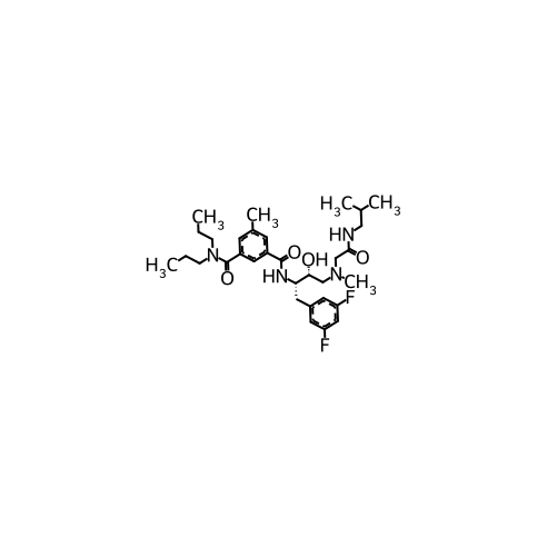 CCCN(CCC)C(=O)c1cc(C)cc(C(=O)N[C@@H](Cc2cc(F)cc(F)c2)[C@H](O)CN(C)CC(=O)NCC(C)C)c1